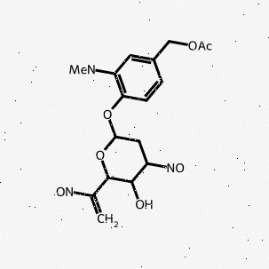 C=C(N=O)C1OC(Oc2ccc(COC(C)=O)cc2NC)CC(N=O)C1O